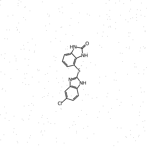 O=c1[nH]c2cccc(Sc3nc4cc(Cl)ccc4[nH]3)c2[nH]1